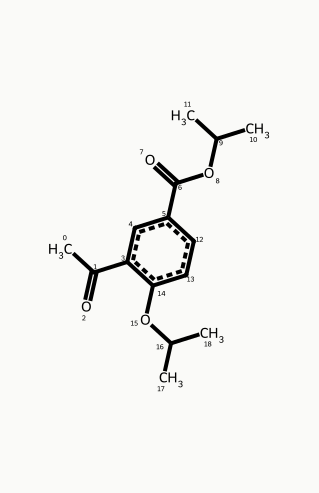 CC(=O)c1cc(C(=O)OC(C)C)ccc1OC(C)C